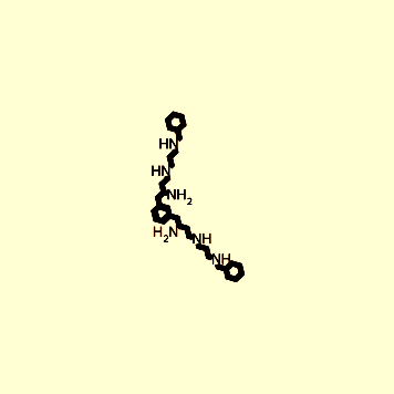 NC(CCNCCCNCC1CCCCC1)Cc1cccc(CC(N)CCNCCCNCC2CCCCC2)c1